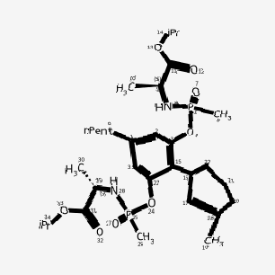 CCCCCc1cc(OP(C)(=O)N[C@@H](C)C(=O)OC(C)C)c(C2C=C(C)CCC2)c(OP(C)(=O)N[C@@H](C)C(=O)OC(C)C)c1